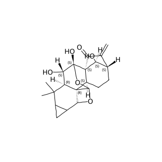 C=C1C(=O)[C@]23[C@@H](O)[C@H]1CC[C@H]2[C@]12C4OC1C1CC1C(C)(C)[C@H]2[C@H](O)[C@@]3(O)O4